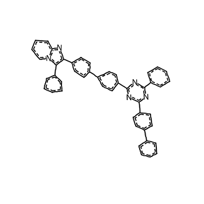 c1ccc(-c2ccc(-c3nc(-c4ccccc4)nc(-c4ccc(-c5ccc(-c6nc7ccccn7c6-c6ccccc6)cc5)cc4)n3)cc2)cc1